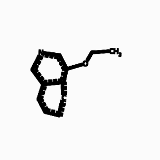 CCOc1cncc2ccccc12